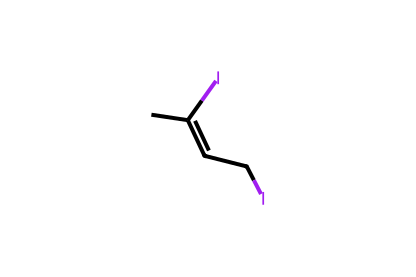 CC(I)=CCI